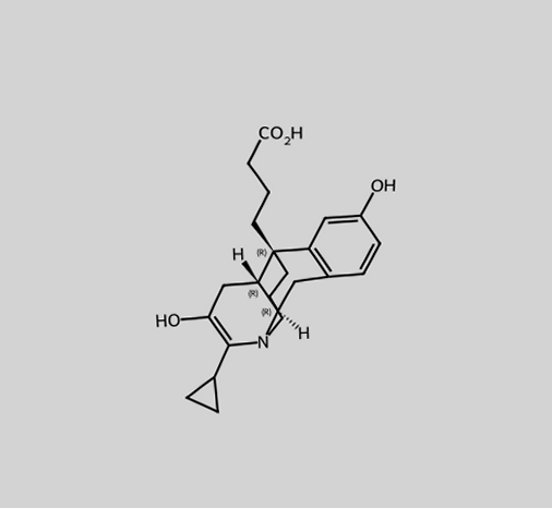 O=C(O)CCC[C@@]12CCCN3C(C4CC4)=C(O)C[C@H]1[C@H]3Cc1ccc(O)cc12